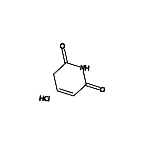 Cl.O=C1C=CCC(=O)N1